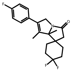 CC1=C(c2ccc(F)cc2)CN2C(=O)CC3(CCC(F)(F)CC3)C12C